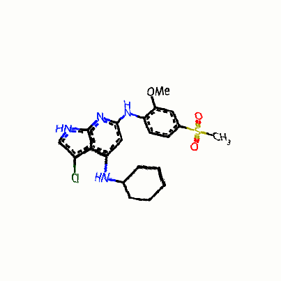 COc1cc(S(C)(=O)=O)ccc1Nc1cc(NC2CCCCC2)c2c(Cl)c[nH]c2n1